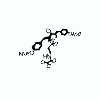 COc1ccc(/C=C2\CN(C(=O)CCNC(=O)C(Cl)Cl)C/C(=C\c3ccc(OC)cc3)C2=O)cc1